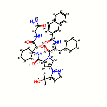 CC(C)(O)c1ccnn1[C@H]1C[C@@H](C(=O)NC2(C(=O)C(=O)NCC(N)=O)CCCCC2)N(C(=O)[C@@H](CC2CCCCC2)NC(=O)c2ccc3ccccc3c2)C1